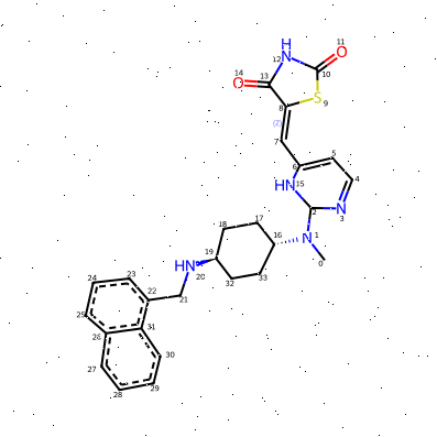 CN(C1N=CC=C(/C=C2\SC(=O)NC2=O)N1)[C@H]1CC[C@H](NCc2cccc3ccccc23)CC1